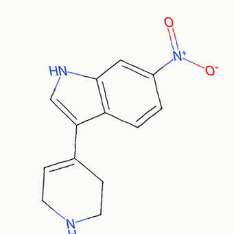 O=[N+]([O-])c1ccc2c(C3=CCNCC3)c[nH]c2c1